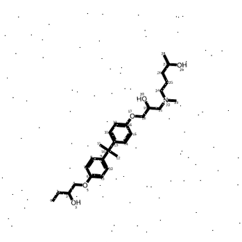 CCC(O)COc1ccc(C(C)(C)c2ccc(OCC(O)CN(C)CCCC(C)O)cc2)cc1